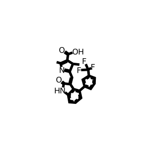 CC1=C(C(=O)O)C(C)C(C=C2C(=O)Nc3cccc(-c4cccc(C(F)(F)F)c4)c32)=N1